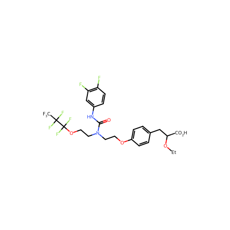 CCOC(Cc1ccc(OCCN(CCOC(F)(F)C(F)(F)C(F)(F)F)C(=O)Nc2ccc(F)c(F)c2)cc1)C(=O)O